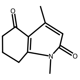 Cc1cc(=O)n(C)c2c1C(=O)CCC2